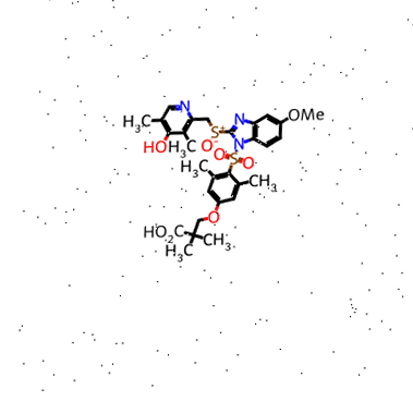 COc1ccc2c(c1)nc([S+]([O-])Cc1ncc(C)c(O)c1C)n2S(=O)(=O)c1c(C)cc(OCC(C)(C)C(=O)O)cc1C